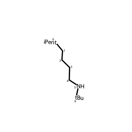 CCCC(C)CCCCNC(C)(C)C